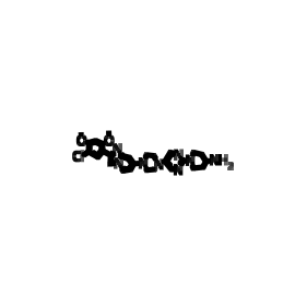 COc1cc(OC)c(-c2cn3ccc(N4CCN(c5cnc(N6CCC(N)CC6)nc5)CC4)cc3n2)cc1Cl